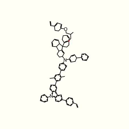 C=CC1=CC=C(OCC(C)CCCCC2(C3=CC=CCC3)C3=CC(N(C4=CCC(c5ccccc5)C=C4)c4ccc(-c5cc(C)c(-c6ccc7c(c6)c6cc(-c8ccc(C=C)cc8)ccc6n7-c6ccccc6)cc5C)cc4)CCC3C3C=CC=CC32)CC1